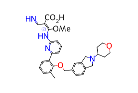 CO/C(Nc1cccc(-c2cccc(C)c2OCc2ccc3c(c2)CN(C2CCOCC2)C3)n1)=C(/C=N)C(=O)O